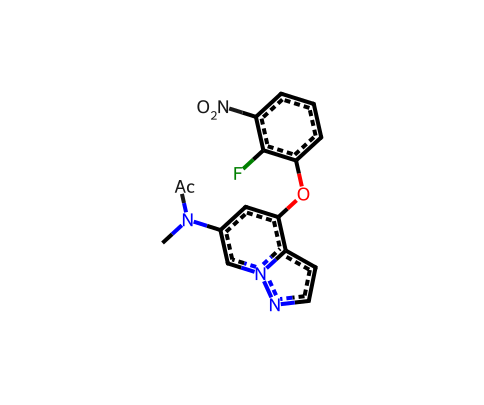 CC(=O)N(C)c1cc(Oc2cccc([N+](=O)[O-])c2F)c2ccnn2c1